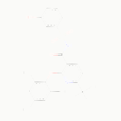 Cc1cc(C)c(Oc2nc(C(C)(C)C)ccc2C(=O)NS(=O)(=O)c2cccc(O)c2)c(C)c1